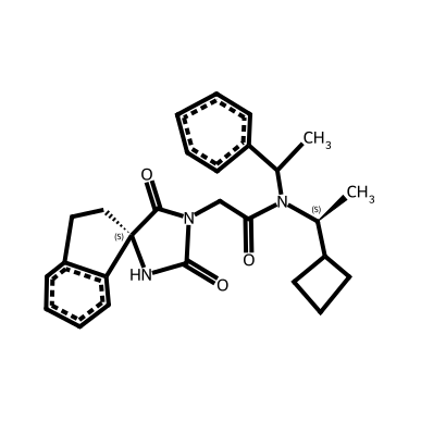 CC(c1ccccc1)N(C(=O)CN1C(=O)N[C@]2(CCc3ccccc32)C1=O)[C@@H](C)C1CCC1